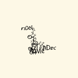 CCCCCCCCCCCCCC(=O)OC[C@H](COP(=O)(O)OC)OC(=O)CCCCCCCCCCCCC